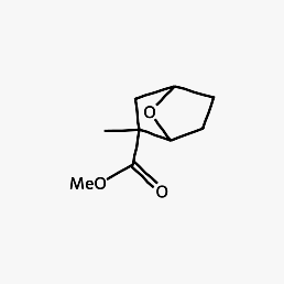 COC(=O)C1(C)CC2CCC1O2